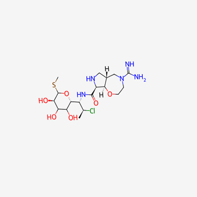 CSC1O[C@H]([C@H](NC(=O)[C@H]2NC[C@@H]3CN(C(=N)N)CCO[C@H]32)[C@H](C)Cl)C(O)C(O)[C@H]1O